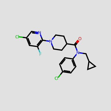 O=C(C1CCN(c2ncc(Cl)cc2F)CC1)N(CC1CC1)c1ccc(Cl)cc1